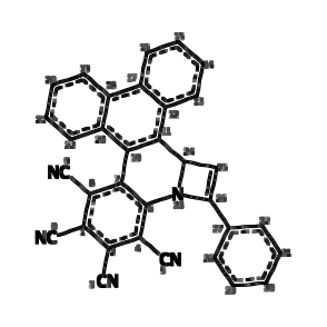 N#Cc1c(C#N)c(C#N)c2c(c1C#N)-c1c(c3ccccc3c3ccccc13)C1C=C(c3ccccc3)N21